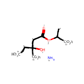 CC(OC(=O)CC(O)(CC(=O)O)C(=O)O)C(=O)O.N